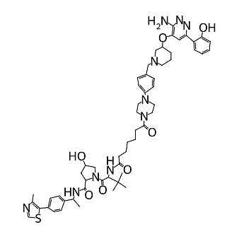 Cc1ncsc1-c1ccc(C(C)NC(=O)C2CC(O)CN2C(=O)C(NC(=O)CCCCCC(=O)N2CCN(c3ccc(CN4CCCC(Oc5cc(-c6ccccc6O)nnc5N)C4)cc3)CC2)C(C)(C)C)cc1